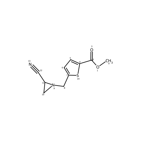 COC(=O)c1ccc(CN2CC2C#N)s1